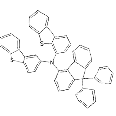 c1ccc(C2(c3ccccc3)c3ccccc3-c3c(N(c4ccc5sc6ccccc6c5c4)c4cccc5c4sc4ccccc45)cccc32)cc1